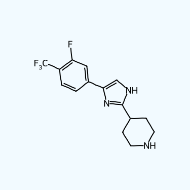 Fc1cc(-c2c[nH]c(C3CCNCC3)n2)ccc1C(F)(F)F